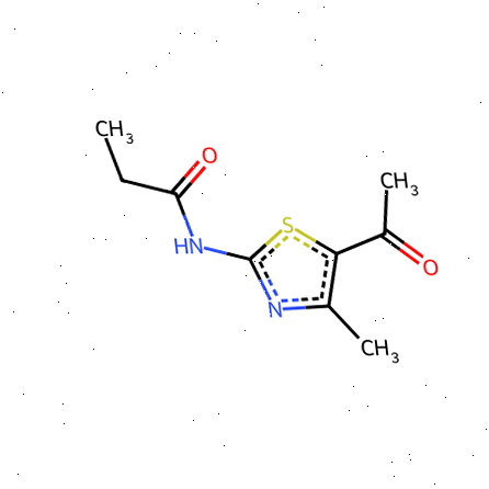 CCC(=O)Nc1nc(C)c(C(C)=O)s1